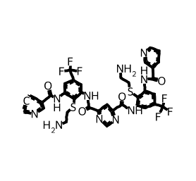 NCCSc1c(NC(=O)c2cccnc2)cc(C(F)(F)F)cc1NC(=O)c1cc(C(=O)Nc2cc(C(F)(F)F)cc(NC(=O)c3cccnc3)c2SCCN)ncn1